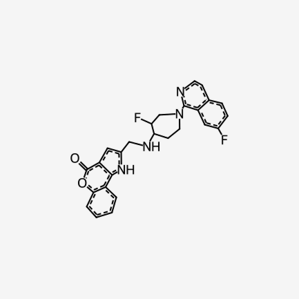 O=c1oc2ccccc2c2[nH]c(CNC3CCN(c4nccc5ccc(F)cc45)CC3F)cc12